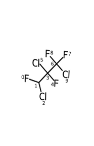 FC(Cl)C(F)(Cl)C(F)(F)Cl